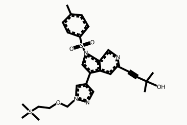 Cc1ccc(S(=O)(=O)n2cc(-c3cnn(COCCS(C)(C)C)c3)c3cc(C#CC(C)(C)O)ncc32)cc1